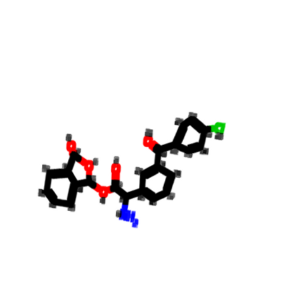 NC(C(=O)OC1OC(=O)c2ccccc21)c1cccc(C(=O)c2ccc(Cl)cc2)c1